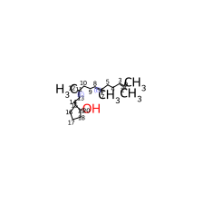 CC(C)=CCC/C(C)=C/CC/C(C)=C/CC1CCCC1O